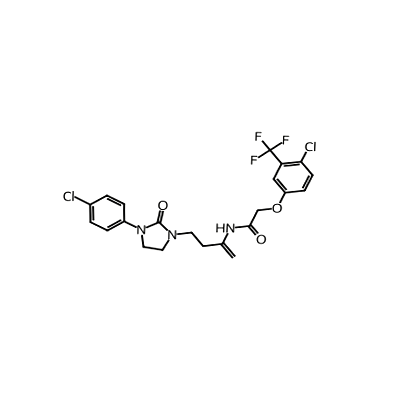 C=C(CCN1CCN(c2ccc(Cl)cc2)C1=O)NC(=O)COc1ccc(Cl)c(C(F)(F)F)c1